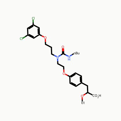 CCCCNC(=O)N(CCCOc1cc(Cl)cc(Cl)c1)CCOc1ccc(CC(OCC)C(=O)O)cc1